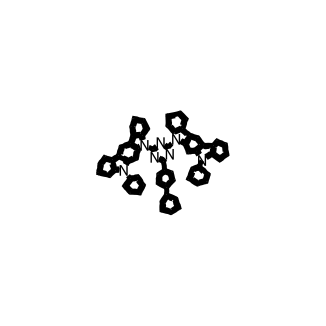 c1ccc(-c2ccc(-c3nc(-n4c5ccccc5c5cc6c7ccccc7n(-c7ccccc7)c6cc54)nc(-n4c5ccccc5c5cc6c7ccccc7n(-c7ccccc7)c6cc54)n3)cc2)cc1